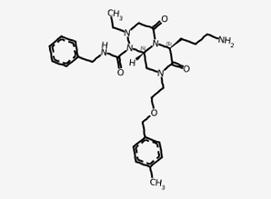 CCN1CC(=O)N2[C@@H](CCCN)C(=O)N(CCOCc3ccc(C)cc3)C[C@@H]2N1C(=O)NCc1ccccc1